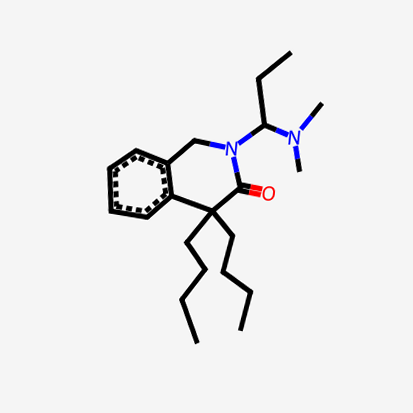 CCCCC1(CCCC)C(=O)N(C(CC)N(C)C)Cc2ccccc21